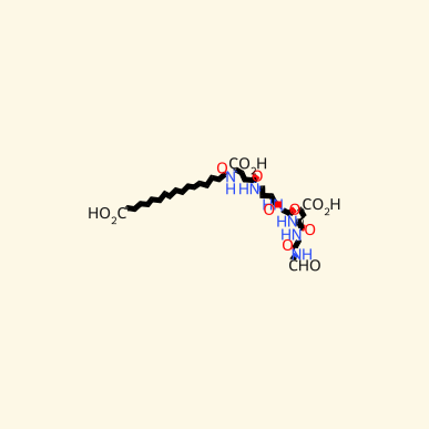 O=CCNC(=O)CNC(=O)[C@H](CCC(=O)O)NC(=O)CNC(=O)CCCNC(=O)CCC(NC(=O)CCCCCCCCCCCCCCCCC(=O)O)C(=O)O